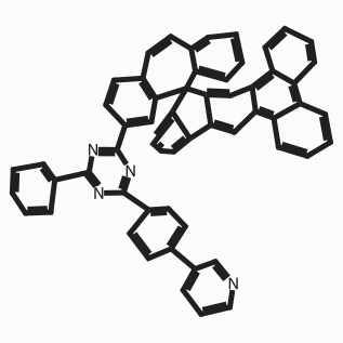 C1=Cc2ccc(-c3nc(-c4ccccc4)nc(-c4ccc(-c5cccnc5)cc4)n3)cc2C2(c3ccccc31)c1ccccc1-c1cc3c4ccccc4c4ccccc4c3cc12